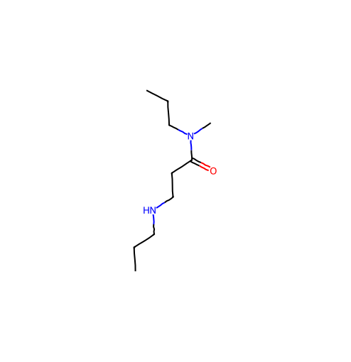 CCCNCCC(=O)N(C)CCC